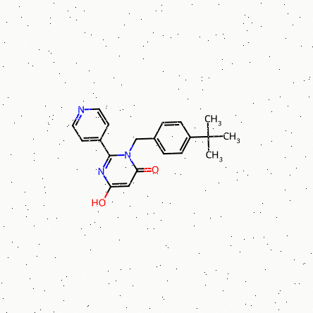 CC(C)(C)c1ccc(Cn2c(-c3ccncc3)nc(O)cc2=O)cc1